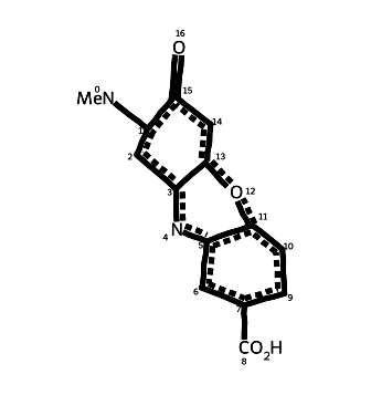 CNc1cc2nc3cc(C(=O)O)ccc3oc-2cc1=O